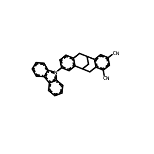 N#Cc1cc(C#N)c2c(c1)C1Cc3ccc(-n4c5ccccc5c5ccccc54)cc3C(C2)C1